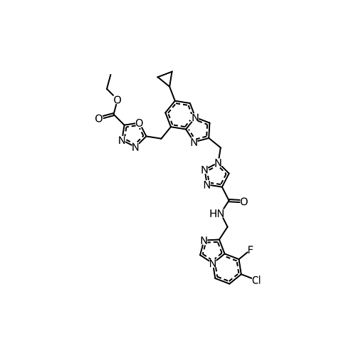 CCOC(=O)c1nnc(Cc2cc(C3CC3)cn3cc(Cn4cc(C(=O)NCc5ncn6ccc(Cl)c(F)c56)nn4)nc23)o1